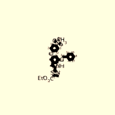 CCOC(=O)c1cnc(-c2cc3cc(Oc4ccc(S(C)(=O)=O)cc4)cc(OCc4ccccc4)c3[nH]2)s1